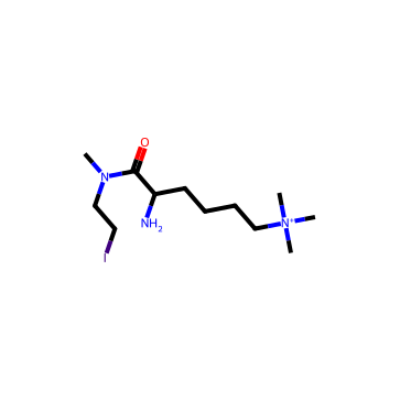 CN(CCI)C(=O)C(N)CCCC[N+](C)(C)C